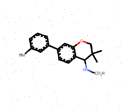 CC(C)(C)c1cccc(-c2ccc3c(c2)OCC(C)(C)C3NC(=O)O)c1